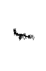 C=N\C(N)=C/C=C(C)/C=C/C(=O)NCc1cc2cc(-c3ccc(C(=S)N4CCC(F)(F)CC4)cn3)cc(-c3ccc(F)cc3F)c2o1